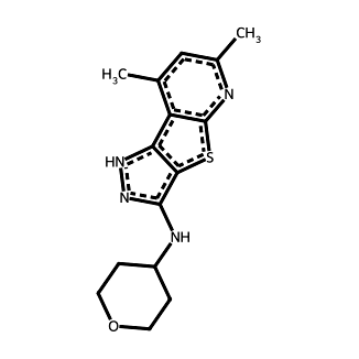 Cc1cc(C)c2c(n1)sc1c(NC3CCOCC3)n[nH]c12